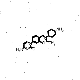 CCN(Cc1ccc(-n2ccc(N)nc2=O)cc1Cl)[C@H]1CC[C@H](N)CC1